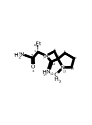 CC[C@@H](C(N)=O)N1CC2(CCCN2C)C1=N